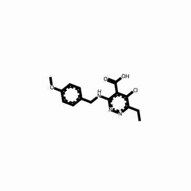 CCc1nnc(NCc2ccc(OC)cc2)c(C(=O)O)c1Cl